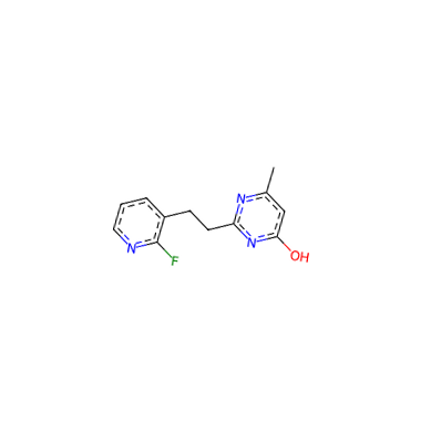 Cc1cc(O)nc(CCc2cccnc2F)n1